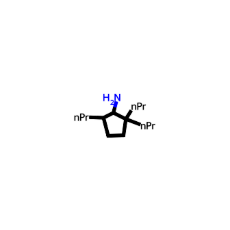 CCCC1CCC(CCC)(CCC)C1N